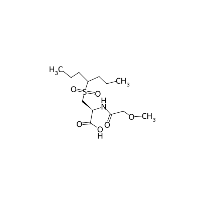 CCCC(CCC)S(=O)(=O)C[C@@H](NC(=O)COC)C(=O)O